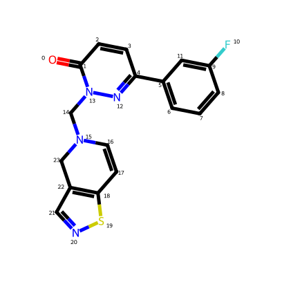 O=c1ccc(-c2cccc(F)c2)nn1CN1C=Cc2sncc2C1